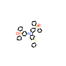 O=P(c1ccccc1)(c1ccccc1)c1ccc(-n2c3ccc(Sc4ccccc4)cc3c3cc(P(=O)(c4ccccc4)c4ccccc4)ccc32)cc1